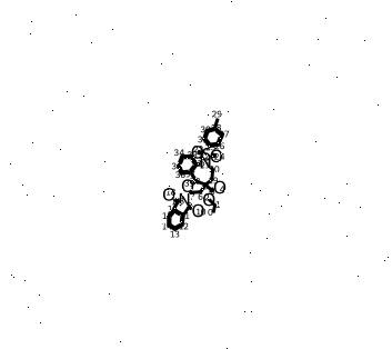 CCOC(=O)C1(CCN2C(=O)c3ccccc3C2=O)CCN(S(=O)(=O)c2ccc(C)cc2)c2ccccc2C1=O